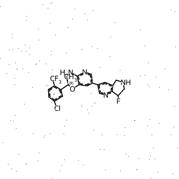 C[C@@H](Oc1cc(-c2cnc3c(c2)CNCC3F)cnc1N)c1cc(Cl)ccc1C(F)(F)F